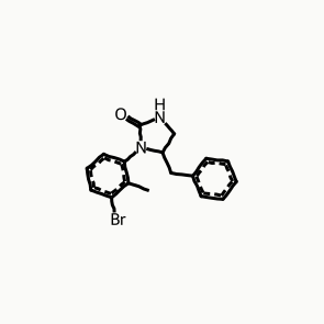 Cc1c(Br)cccc1N1C(=O)NCC1Cc1ccccc1